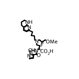 COC[C@@H](F)CN(CCCCc1ccc2c(n1)NCCC2)CC[C@H](NC(=O)c1ccnn1C)C(=O)O